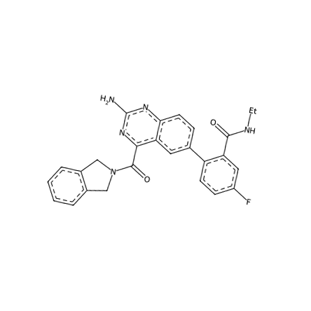 CCNC(=O)c1cc(F)ccc1-c1ccc2nc(N)nc(C(=O)N3Cc4ccccc4C3)c2c1